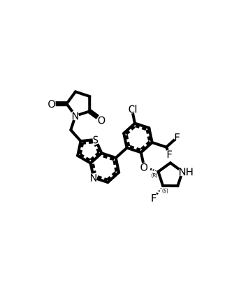 O=C1CCC(=O)N1Cc1cc2nccc(-c3cc(Cl)cc(C(F)F)c3O[C@@H]3CNC[C@@H]3F)c2s1